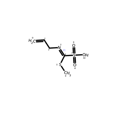 C=CC/N=C(\SC)S(=O)(=O)O